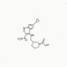 C=CC(=O)N1CCCC(CNc2c(C(N)=O)cnn3cc(C4CC4)cc23)C1